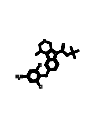 CC1COCc2c1c1cc(Oc3c(Cl)cc(N)cc3Cl)ccc1n2C(=O)OC(C)(C)C